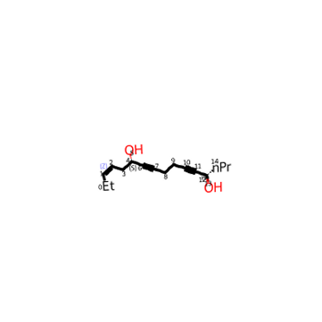 CC/C=C\C[C@H](O)C#CCCC#C[C@@H](O)CCC